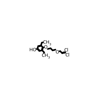 CCc1cc(O)cc(CC)c1OCCCCOCC=C(Cl)Cl